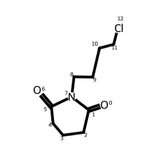 O=C1CCCC(=O)N1CCCCCl